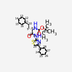 CC(C)(C)OC(=O)N[C@@H](CCc1ccccc1)C(=O)Nc1nc(-c2ccccc2)cs1